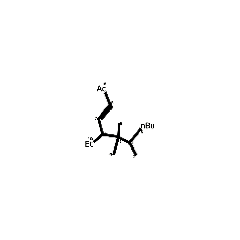 CCCCC(C)C(C)(C)C(/C=C/C(C)=O)CC